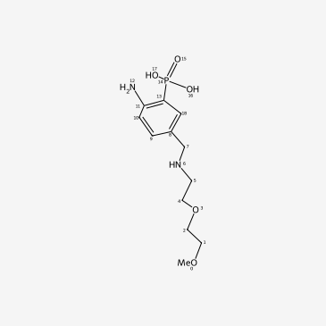 COCCOCCNCc1ccc(N)c(P(=O)(O)O)c1